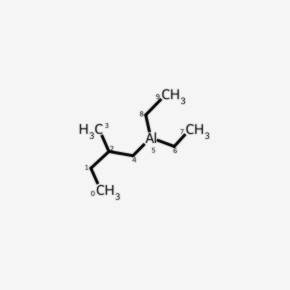 CCC(C)[CH2][Al]([CH2]C)[CH2]C